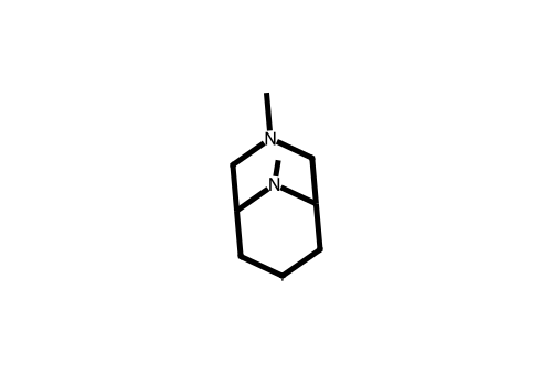 CN1CC2C[CH]CC(C1)N2C